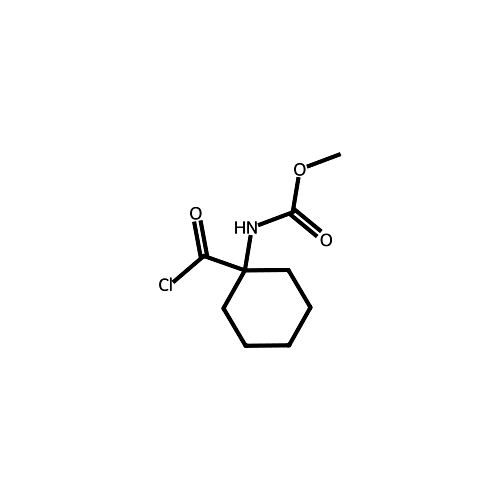 COC(=O)NC1(C(=O)Cl)CCCCC1